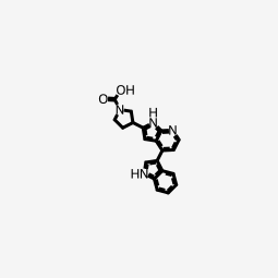 O=C(O)N1CCC(c2cc3c(-c4c[nH]c5ccccc45)ccnc3[nH]2)C1